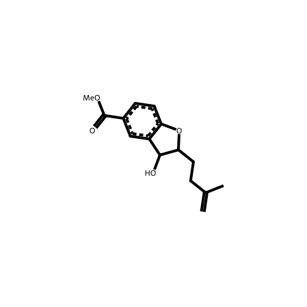 C=C(C)CCC1Oc2ccc(C(=O)OC)cc2C1O